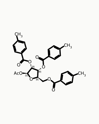 CC(=O)O[C@@H]1O[C@H](COC(=O)c2ccc(C)cc2)[C@@H](OC(=O)c2ccc(C)cc2)[C@H]1OC(=O)c1ccc(C)cc1